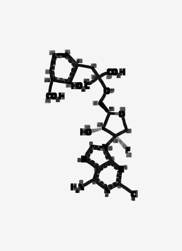 Nc1nc(Cl)nc2c1ncn2[C@]1(F)CO[C@H](COC(Cc2cccc(C(=O)O)c2)(C(=O)O)C(=O)O)[C@H]1O